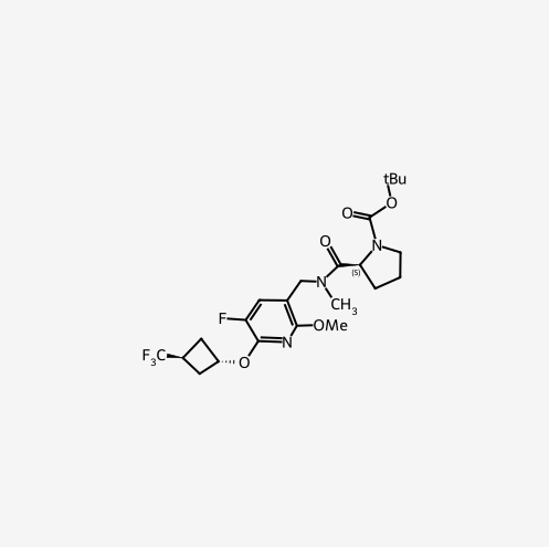 COc1nc(O[C@H]2C[C@H](C(F)(F)F)C2)c(F)cc1CN(C)C(=O)[C@@H]1CCCN1C(=O)OC(C)(C)C